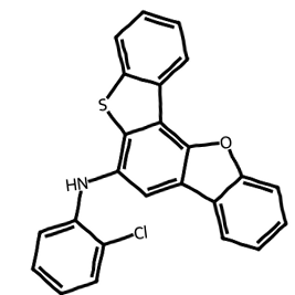 Clc1ccccc1Nc1cc2c3ccccc3oc2c2c1sc1ccccc12